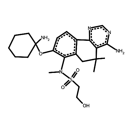 CN(c1c(OC2(N)CCCCC2)ccc2c1CC(C)(C)c1c(N)ncnc1-2)S(=O)(=O)CCO